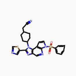 N#CCC1CCC(n2c(-c3cncs3)nc3cnc4c(ccn4S(=O)(=O)c4ccccc4)c32)CC1